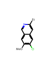 CCc1cc2cc(Cl)c(OC)cc2cn1